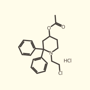 CC(=O)OC1CCN(CCCl)C(c2ccccc2)(c2ccccc2)C1.Cl